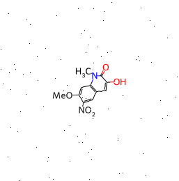 COc1cc2c(cc1[N+](=O)[O-])cc(O)c(=O)n2C